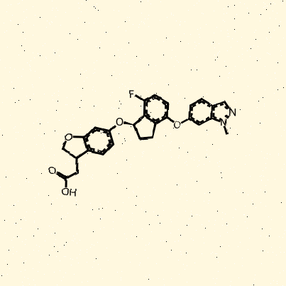 Cn1ncc2ccc(Oc3ccc(F)c4c3CC[C@H]4Oc3ccc4c(c3)OCC4CC(=O)O)cc21